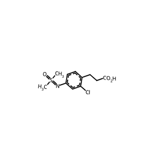 CS(C)(=O)=Nc1ccc(CCC(=O)O)c(Cl)c1